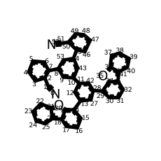 N#Cc1ccccc1-c1cc(-c2cc(-c3cccc4c3oc3ccccc34)cc(-c3cccc4c3oc3ccccc34)c2)cc(-c2ccccc2C#N)c1